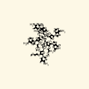 COCCO[C@H]1C(OP(=O)(S)OC[C@H]2OC(n3cnc4c(=O)[nH]c(N)nc43)[C@@H](OCCOC)C2OP(=O)(S)OC[C@H]2O[C@@H](n3cc(C)c(N)nc3=O)[C@@H](OCCOC)C2O)[C@@H](COP(=O)(O)OC2[C@@H]3O[C@@H](C)[C@]2(COP(=O)(S)OC2C[C@H](n4cnc5c(N)ncnc54)O[C@@H]2C)OC3n2cc(C)c(N)nc2=O)OC1n1cnc2c(N)ncnc21